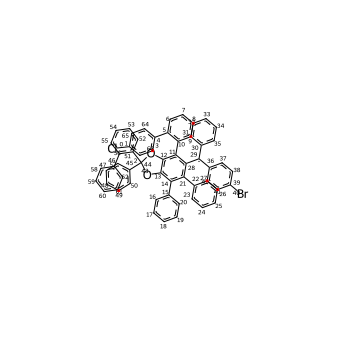 Clc1ccc(-c2ccccc2-c2c3c(c(-c4ccccc4)c(-c4ccccc4)c2[C](c2ccccc2)c2ccc(Br)cc2)OC(c2ccccc2)(c2ccccc2-c2ccccc2)O3)cc1